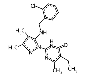 CCc1c(C)nc(-n2nc(C)c(C)c2NCc2ccccc2Cl)[nH]c1=O